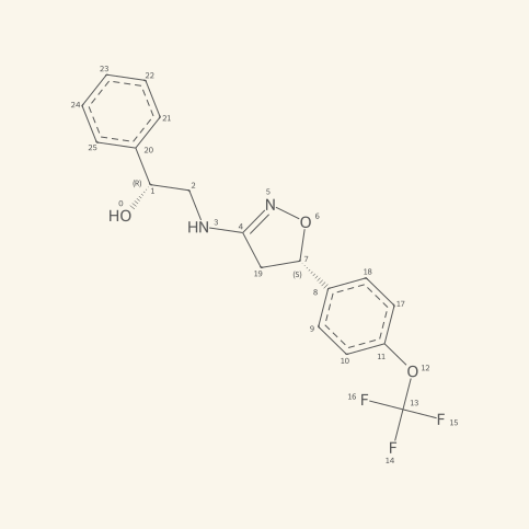 O[C@@H](CNC1=NO[C@H](c2ccc(OC(F)(F)F)cc2)C1)c1ccccc1